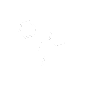 C=CCN(C(=O)CC(C)=O)c1ccccc1